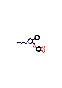 CCCCCN1CCC(c2ccccc2)C(COc2ccc3c(c2)OCO3)C1